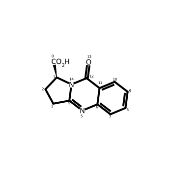 O=C(O)[C@@H]1CCc2nc3ccccc3c(=O)n21